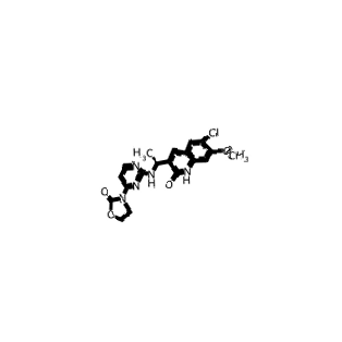 COc1cc2[nH]c(=O)c([C@H](C)Nc3nccc(N4CCOC4=O)n3)cc2cc1Cl